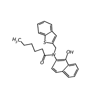 CCCCCC(=O)N(Cc1cc2ccccc2s1)c1ccc2ccccc2c1O